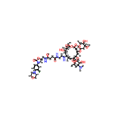 CC[C@H]1OC(=O)[C@H](C)[C@@H](OC2CC(C)(OC)C(O)C(C)O2)[C@H](C)[C@@H](OC2OC(C)CC(N(C)C)C2O)[C@](C)(O)C[C@@H](C)[C@H](NCCNC(=O)CCC(=O)NC[C@H]2CN(c3ccc(N4CCOCC4)c(F)c3)C(=O)O2)[C@H](C)[C@@H](O)[C@]1(C)O